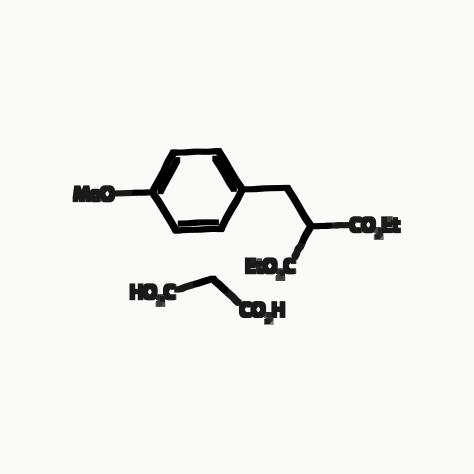 CCOC(=O)C(Cc1ccc(OC)cc1)C(=O)OCC.O=C(O)CC(=O)O